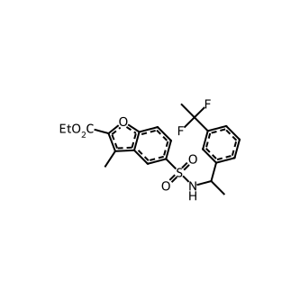 CCOC(=O)c1oc2ccc(S(=O)(=O)NC(C)c3cccc(C(C)(F)F)c3)cc2c1C